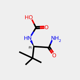 CC(C)(C)[C@@H](NC(=O)O)C(N)=O